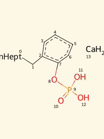 CCCCCCCCc1ccccc1OP(=O)(O)O.[CaH2]